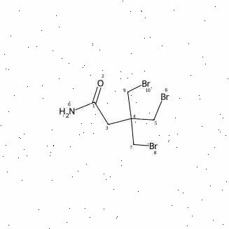 NC(=O)CC(CBr)(CBr)CBr